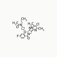 CCCN(C(C)=O)[C@H]1C[C@H](Oc2cc(F)ccc2C(=O)N2Cc3nn4c(C)c(Cl)c(C)nc4c3C2)C1